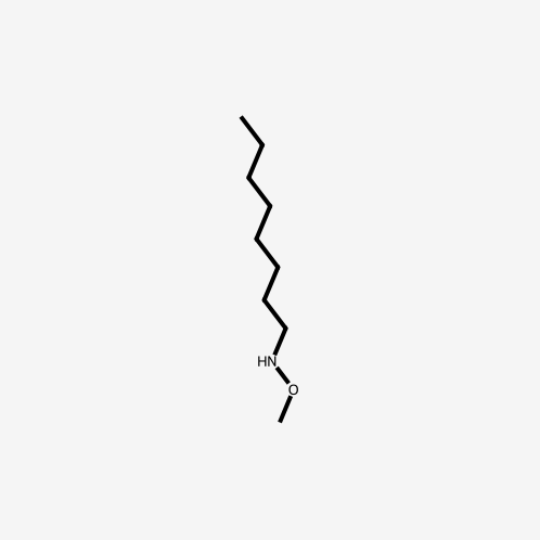 CCCCCCCCNOC